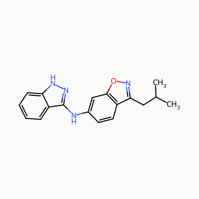 CC(C)Cc1noc2cc(Nc3n[nH]c4ccccc34)ccc12